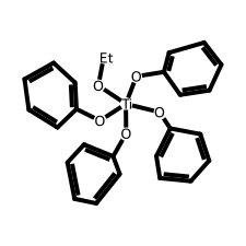 CC[O][Ti]([O]c1ccccc1)([O]c1ccccc1)([O]c1ccccc1)[O]c1ccccc1